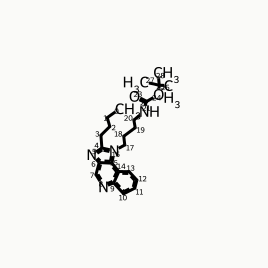 CCCCc1nc2cnc3ccccc3c2n1CCCCNC(=O)OC(C)(C)C